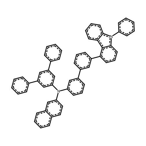 c1ccc(-c2cc(-c3ccccc3)cc(N(c3cccc(-c4cccc(-c5cccc6c5c5ccccc5n6-c5ccccc5)c4)c3)c3ccc4ccccc4c3)c2)cc1